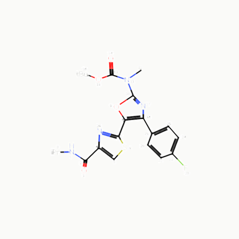 CC(C)NC(=O)c1csc(-c2oc(N(C)C(=O)OC(C)(C)C)nc2-c2ccc(F)cc2)n1